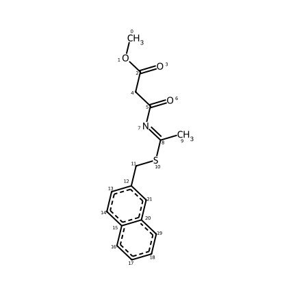 COC(=O)CC(=O)N=C(C)SCc1ccc2ccccc2c1